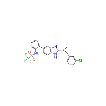 O=S(=O)(Nc1ccccc1-c1ccc2[nH]c(C3CC3c3cccc(Cl)c3)nc2c1)C(F)(F)F